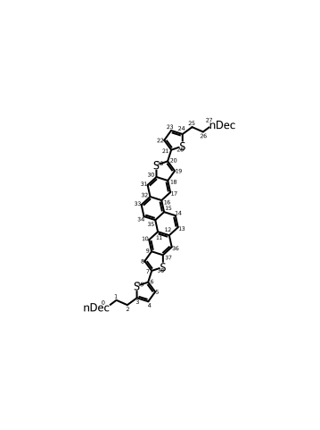 CCCCCCCCCCCCc1ccc(-c2cc3cc4c(ccc5c6cc7cc(-c8ccc(CCCCCCCCCCCC)s8)sc7cc6ccc45)cc3s2)s1